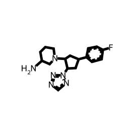 NC1CCCN(C2CC(c3ccc(F)cc3)CC2n2ncnn2)C1